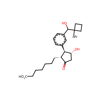 CCCC1(C(O)c2cccc([C@H]3[C@H](O)CC(=O)[C@@H]3CCCCCCC(=O)O)c2)CCC1